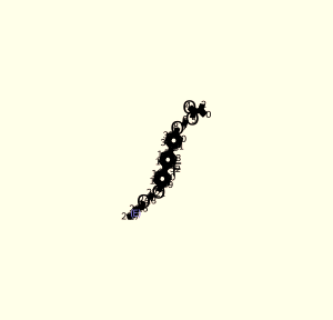 C=C(C)C(=O)OCCOc1ccc(-c2ccc(-c3ccc(OCCOC/C=C/C)cc3)c(F)c2)cc1